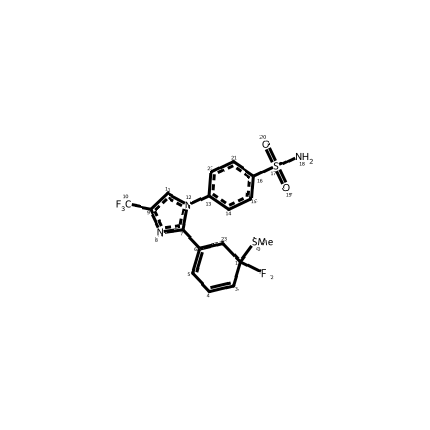 CSC1(F)C=CC=C(c2nc(C(F)(F)F)cn2-c2ccc(S(N)(=O)=O)cc2)C1